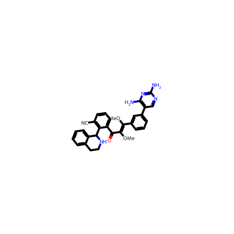 COC(C(=O)c1cccc(C#N)c1C1NCCc2ccccc21)=C(OC)c1cccc(-c2cnc(N)nc2N)c1